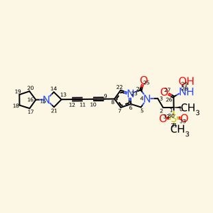 C[C@@](CCN1Cc2cc(C#CC#CC3CN(C4CCCC4)C3)cn2C1=O)(C(=O)NO)S(C)(=O)=O